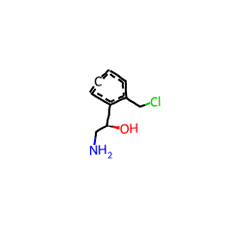 NC[C@H](O)c1ccccc1CCl